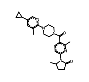 Cc1cc(C2CC2)cnc1N1CCN(C(=O)c2ccc(N3C(=O)CCC3C)nc2C)CC1